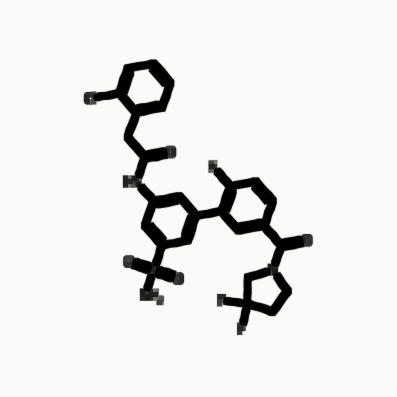 NS(=O)(=O)c1cc(NC(=O)Cc2ccccc2Cl)cc(-c2cc(C(=O)N3CCC(F)(F)C3)ccc2F)c1